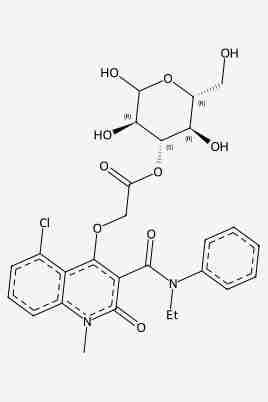 CCN(C(=O)c1c(OCC(=O)O[C@H]2[C@H](O)[C@@H](CO)OC(O)[C@@H]2O)c2c(Cl)cccc2n(C)c1=O)c1ccccc1